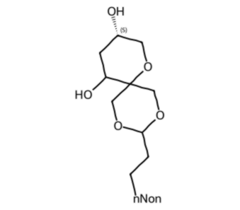 CCCCCCCCCCCC1OCC2(CO1)OC[C@@H](O)CC2O